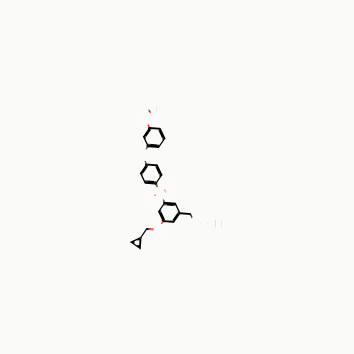 O=C(O)Cc1cc(OCC2CC2)cc(S(=O)(=O)c2ccc(Sc3cccc(OC(F)(F)F)c3)cc2)c1